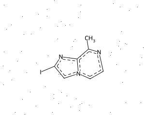 Cc1nccn2cc(I)nc12